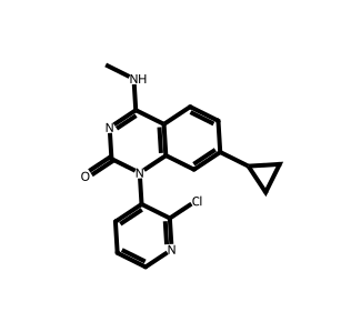 CNc1nc(=O)n(-c2cccnc2Cl)c2cc(C3CC3)ccc12